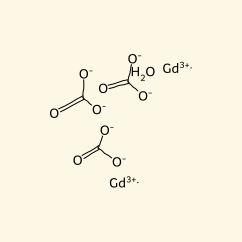 O.O=C([O-])[O-].O=C([O-])[O-].O=C([O-])[O-].[Gd+3].[Gd+3]